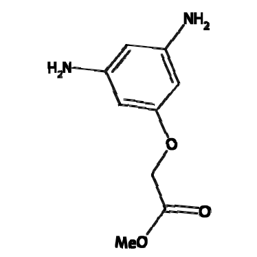 COC(=O)COc1cc(N)cc(N)c1